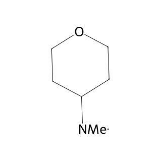 C[N]C1CCOCC1